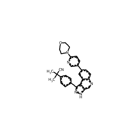 CC(C)(C#N)c1ccc(-c2n[nH]c3cnc4ccc(-c5ccc(N6CCOCC6)nc5)cc4c23)cc1